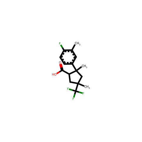 Cc1cc(C2(C)CC(C)(C(F)(F)F)CC2C(=O)O)ccc1F